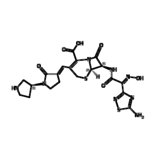 Nc1nc(C(=NO)C(=O)N[C@@H]2C(=O)N3C(C(=O)O)=C(C=C4CCN([C@H]5CCNC5)C4=O)CS[C@H]23)ns1